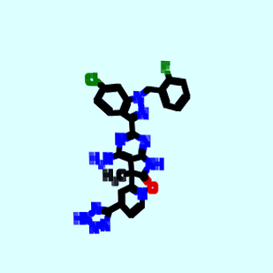 CC1(c2cc(-c3nn[nH]n3)ccn2)C(=O)Nc2nc(-c3nn(Cc4ccccc4F)c4cc(Cl)ccc34)nc(N)c21